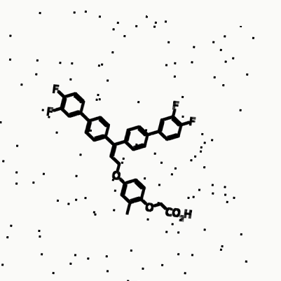 Cc1cc(OCC=C(c2ccc(-c3ccc(F)c(F)c3)cc2)c2ccc(-c3ccc(F)c(F)c3)cc2)ccc1OCC(=O)O